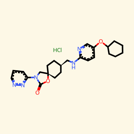 Cl.O=C1O[C@]2(CC[C@H](CNc3ccc(OC4CCCCC4)cn3)CC2)CN1c1cccnn1